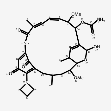 COC1/C=C\C=C(/C)C(=O)NC2=CC(=O)C(N3CCC3)=C(CC(C)CC(OC)C3OC(O)C(=CC3C)C1OC(N)=O)C2=O